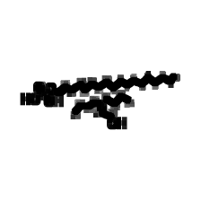 CCCCCCCCCCCCCCCCC=COP(=O)(O)O.CCCCN(CCO)CCCC